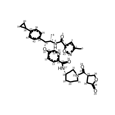 Cc1cc(C(=O)N[C@@H](C)[C@H](Oc2ccc(C(=O)N[C@H]3CCCN(C(=O)[C@H]4COC(=O)C4)C3)nc2)c2ccc(C3CC3)cc2)on1